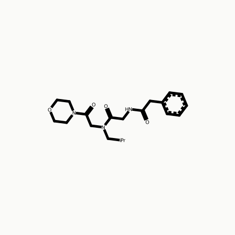 CC(C)CN(CC(=O)N1CCOCC1)C(=O)CNC(=O)Cc1ccccc1